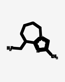 Cc1cn2c(n1)C(CP)CCCC2